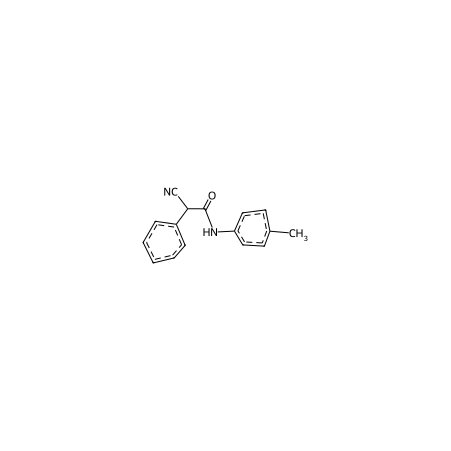 Cc1ccc(NC(=O)C(C#N)c2ccccc2)cc1